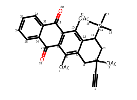 C#CC1(OC(C)=O)Cc2c(OC(C)=O)c3c(c(OC(C)=O)c2C([Si](C)(C)C)C1)C(=O)c1ccccc1C3=O